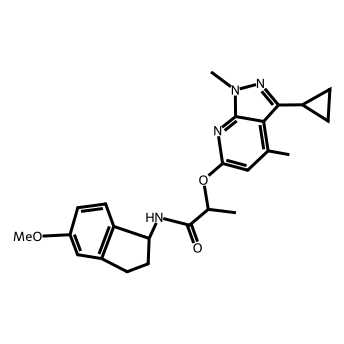 COc1ccc2c(c1)CCC2NC(=O)C(C)Oc1cc(C)c2c(C3CC3)nn(C)c2n1